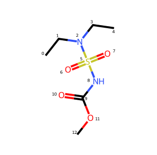 CCN(CC)S(=O)(=O)NC(=O)OC